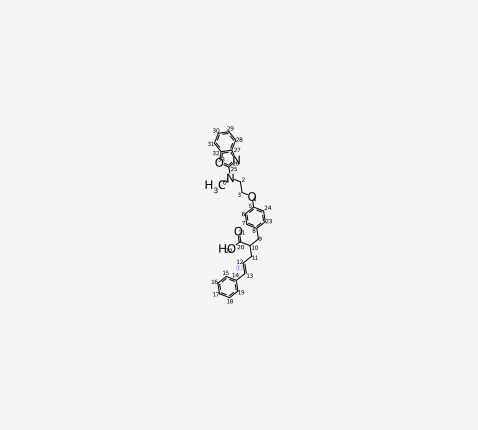 CN(CCOc1ccc(CC(C/C=C/c2ccccc2)C(=O)O)cc1)c1nc2ccccc2o1